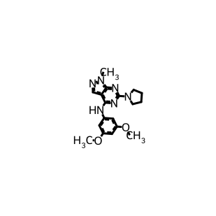 COc1cc(Nc2nc(N3CCCC3)nc3c2cnn3C)cc(OC)c1